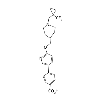 O=C(O)c1ccc(-c2ccc(OCC3CCN(CC4(C(F)(F)F)CC4)CC3)nc2)cc1